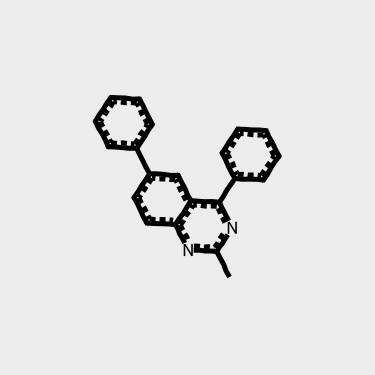 Cc1nc(-c2ccccc2)c2cc(-c3ccccc3)ccc2n1